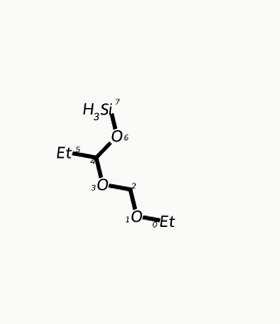 CCOCOC(CC)O[SiH3]